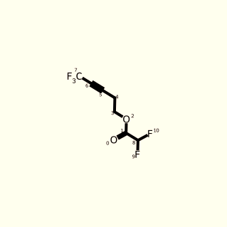 O=C(OCCC#CC(F)(F)F)C(F)F